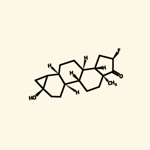 C[C@]12CC[C@@H]3[C@H]4CC[C@]5(O)CC5[C@H]4CC[C@H]3[C@@H]1C[C@@H](F)C2=O